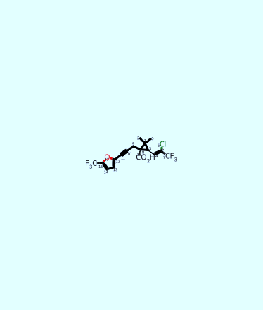 CC1(C)[C@@H](/C=C(\Cl)C(F)(F)F)[C@@]1(CC#Cc1ccc(C(F)(F)F)o1)C(=O)O